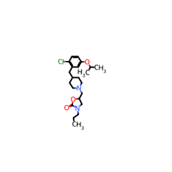 CCCN1CC(CN2CCC(Cc3cc(OC(C)C)ccc3Cl)CC2)OC1=O